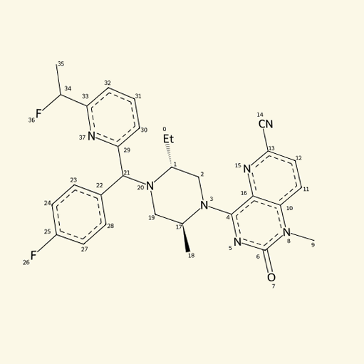 CC[C@@H]1CN(c2nc(=O)n(C)c3ccc(C#N)nc23)[C@@H](C)CN1C(c1ccc(F)cc1)c1cccc(C(C)F)n1